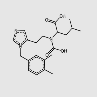 Cc1ccc(Cn2cncc2CCN(C(=O)O)C(CC(C)C)C(=O)O)cc1C